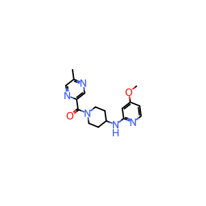 COc1ccnc(NC2CCN(C(=O)c3cnc(C)cn3)CC2)c1